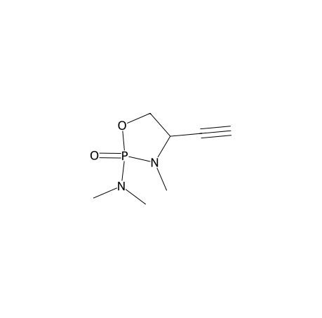 C#CC1COP(=O)(N(C)C)N1C